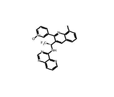 Cc1cccc2cc([C@@H](Nc3ncnc4cccnc34)C(F)(F)F)c(-c3ccc[n+]([O-])c3)nc12